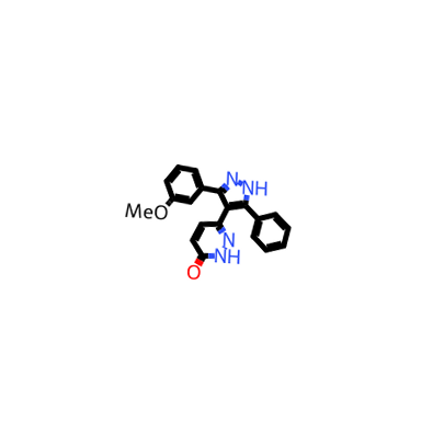 COc1cccc(-c2n[nH]c(-c3ccccc3)c2-c2ccc(=O)[nH]n2)c1